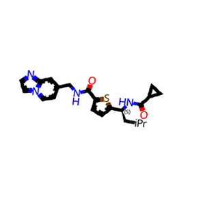 CC(C)C[C@H](NC(=O)C1CC1)c1ccc(C(=O)NCc2ccn3ccnc3c2)s1